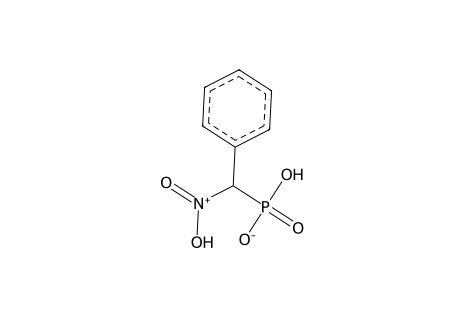 O=[N+](O)C(c1ccccc1)P(=O)([O-])O